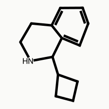 c1ccc2c(c1)CCNC2C1CCC1